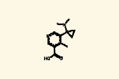 Cc1c(C(=O)O)cncc1C1(N(C)C)CC1